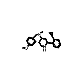 COc1ccc(CN(C)C2CCNC(c3ccccc3C3CC3)C2)cc1